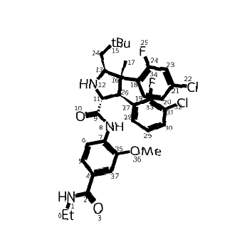 CCNC(=O)c1ccc(NC(=O)[C@@H]2N[C@@H](CC(C)(C)C)[C@](C)(c3ccc(Cl)cc3F)[C@H]2c2cccc(Cl)c2F)c(OC)c1